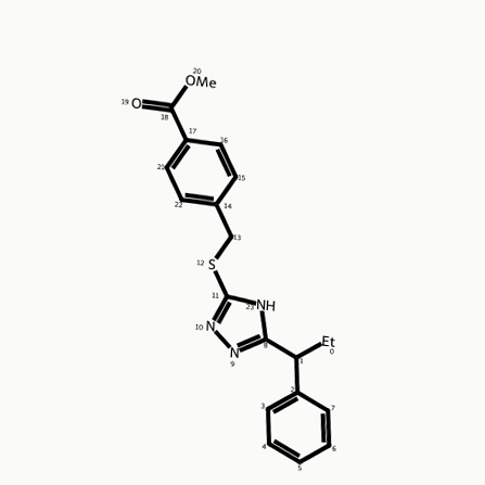 CCC(c1ccccc1)c1nnc(SCc2ccc(C(=O)OC)cc2)[nH]1